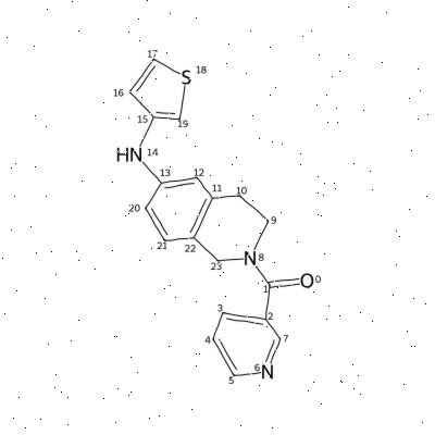 O=C(c1cccnc1)N1CCc2cc(Nc3ccsc3)ccc2C1